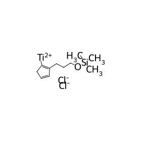 C[Si](C)(C)OCCCC1=[C]([Ti+2])CC=C1.[Cl-].[Cl-]